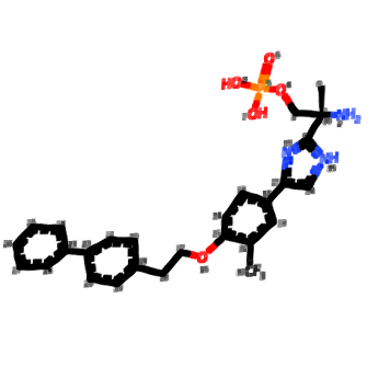 C[C@](N)(COP(=O)(O)O)c1nc(-c2ccc(OCCc3ccc(-c4ccccc4)cc3)c(C(F)(F)F)c2)c[nH]1